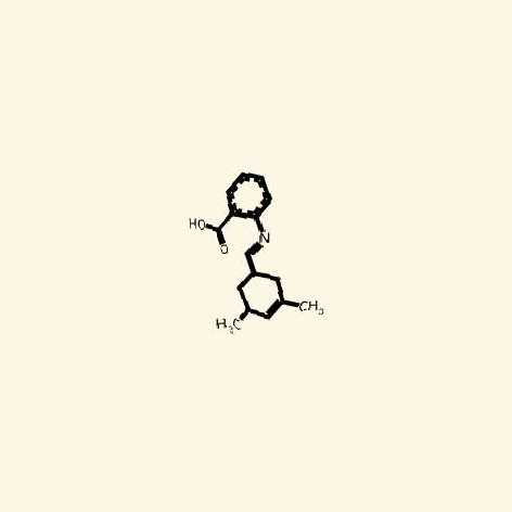 CC1=CC(C)CC(C=Nc2ccccc2C(=O)O)C1